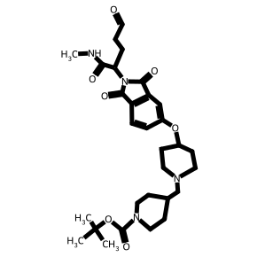 CNC(=O)C(CCC=O)N1C(=O)c2ccc(OC3CCN(CC4CCN(C(=O)OC(C)(C)C)CC4)CC3)cc2C1=O